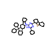 c1ccc(C2=NC(c3cccc4c3sc3ccccc34)=NC(n3c4ccccc4c4cc5c(cc43)-c3ccccc3C5(c3ccccc3)c3ccccc3)N2)cc1